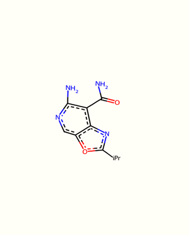 CC(C)c1nc2c(C(N)=O)c(N)ncc2o1